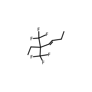 CCC=CC(CC)(C(F)(F)F)C(F)(F)F